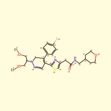 CCOCC(COCC)N1CC(c2ccc(F)cc2)=C(c2nc(CC(=O)NCC3CCOCC3)cs2)C=N1